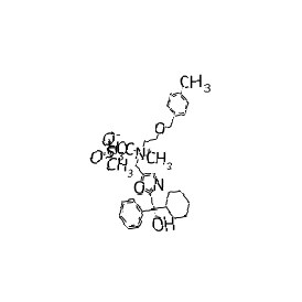 CS(=O)(=O)[O-].Cc1ccc(COCC[N+](C)(C)Cc2cnc([C@](O)(c3ccccc3)C3CCCCC3)o2)cc1